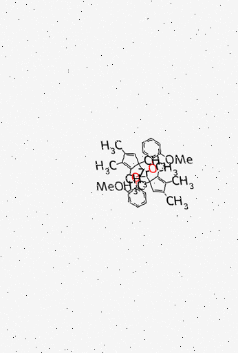 COc1ccccc1[O][Zr]([O]c1ccccc1OC)([C]1(C)C=C(C)C(C)=C1C)[C]1(C)C=C(C)C(C)=C1C